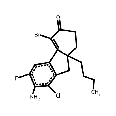 CCCCC12CCC(=O)C(Br)=C1c1cc(F)c(N)c(Cl)c1C2